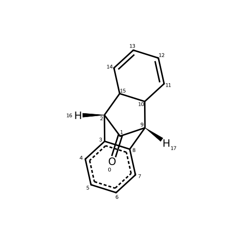 O=C1[C@@H]2c3ccccc3[C@H]1C1C=CC=CC12